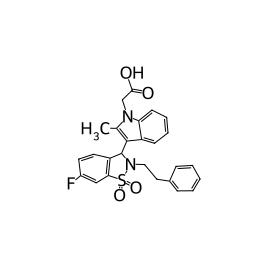 Cc1c(C2c3ccc(F)cc3S(=O)(=O)N2CCc2ccccc2)c2ccccc2n1CC(=O)O